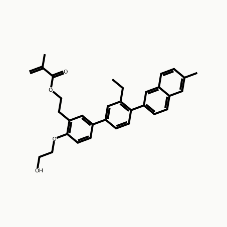 C=C(C)C(=O)OCCc1cc(-c2ccc(-c3ccc4cc(C)ccc4c3)c(CC)c2)ccc1OCCO